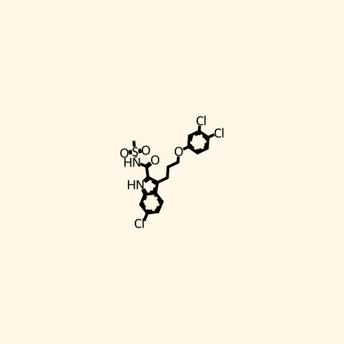 CS(=O)(=O)NC(=O)c1[nH]c2cc(Cl)ccc2c1CCCOc1ccc(Cl)c(Cl)c1